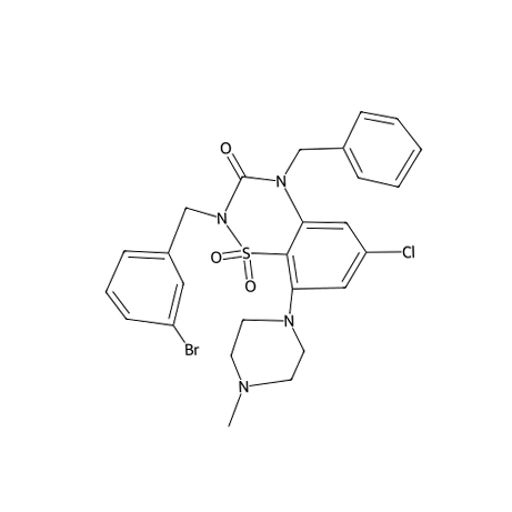 CN1CCN(c2cc(Cl)cc3c2S(=O)(=O)N(Cc2cccc(Br)c2)C(=O)N3Cc2ccccc2)CC1